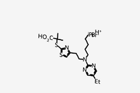 CCc1cnc(N(CCCCC(C)C)CCc2csc(SC(C)(C)C(=O)O)n2)nc1.[Br-].[H+]